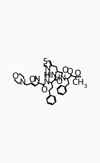 CC1(C(=O)C(Cc2ccccc2)NC(=O)C(Cc2cscn2)NC(=O)C(CCc2ccccc2)NC(=O)c2cc(CN3CCOCC3)on2)CO1